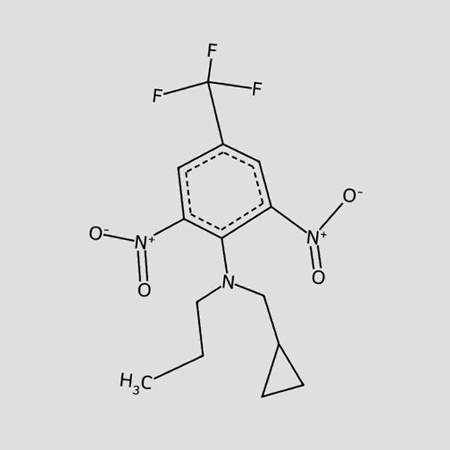 CCCN(CC1CC1)c1c([N+](=O)[O-])cc(C(F)(F)F)cc1[N+](=O)[O-]